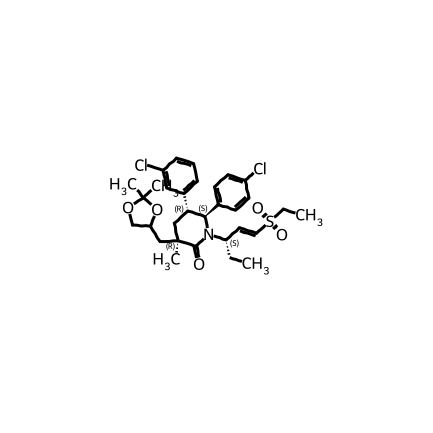 CC[C@@H](C=CS(=O)(=O)CC)N1C(=O)[C@@](C)(CC2COC(C)(C)O2)C[C@H](c2cccc(Cl)c2)[C@H]1c1ccc(Cl)cc1